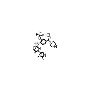 Cc1ncc(-c2nc(Nc3ccc(C(=O)N4CCN(C)CC4)cc3OC(F)(F)F)ncc2F)n1C.Cl